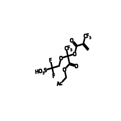 C=C(C(=O)OC(OCC(F)(F)S(=O)(=O)O)(C(=O)OCC(C)=O)C(F)(F)F)C(F)(F)F